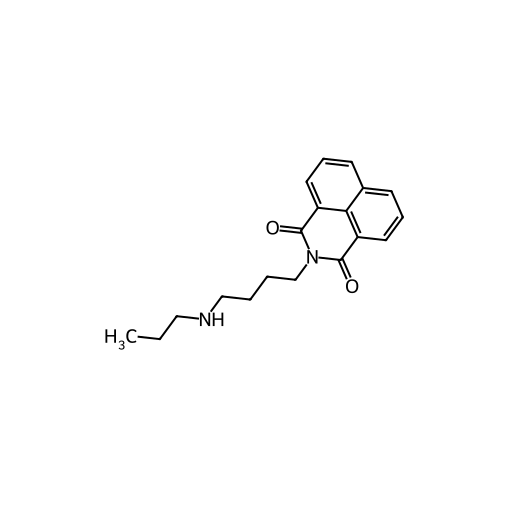 CCCNCCCCN1C(=O)c2cccc3cccc(c23)C1=O